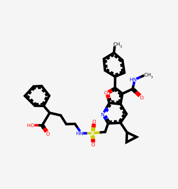 CNC(=O)c1c(-c2ccc(C)cc2)oc2nc(CS(=O)(=O)NCCCC(C(=O)O)c3ccccc3)c(C3CC3)cc12